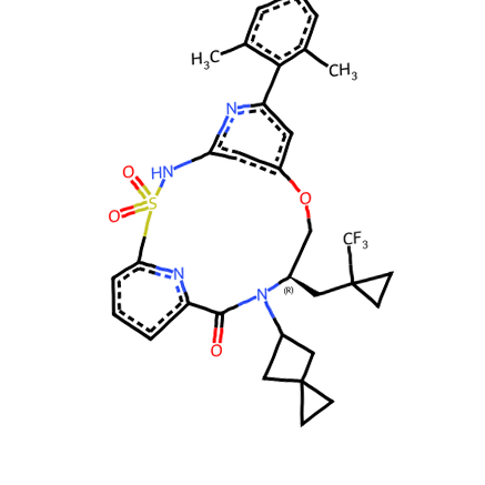 Cc1cccc(C)c1-c1cc2cc(n1)NS(=O)(=O)c1cccc(n1)C(=O)N(C1CC3(CC3)C1)[C@H](CC1(C(F)(F)F)CC1)CO2